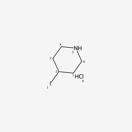 Cl.IC1CCNCC1